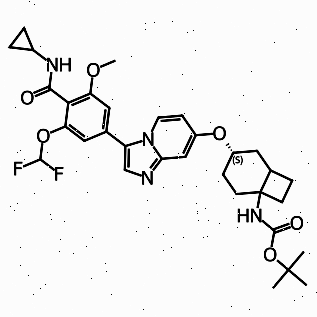 COc1cc(-c2cnc3cc(O[C@H]4CCC5(NC(=O)OC(C)(C)C)CCC5C4)ccn23)cc(OC(F)F)c1C(=O)NC1CC1